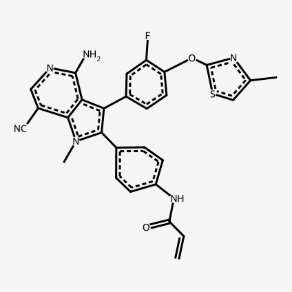 C=CC(=O)Nc1ccc(-c2c(-c3ccc(Oc4nc(C)cs4)c(F)c3)c3c(N)ncc(C#N)c3n2C)cc1